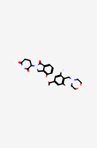 Bc1cc(C(B)Oc2cccc3c2CN(C2CCC(=O)NC2=O)C3=O)cc(B)c1CN1CCOCC1